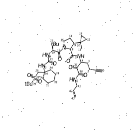 C#CCCC(NC(=O)C1[C@H](C2(C)CC2)CCN1C(=O)[C@@H](NC(=O)NC1(CS(=O)(=O)C(C)(C)C)CCCCC1)C(C)(C)C)C(=O)C(=O)NCC=C